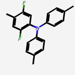 Cc1ccc(N(c2ccc(C)cc2)c2cc(F)c(C)cc2F)cc1